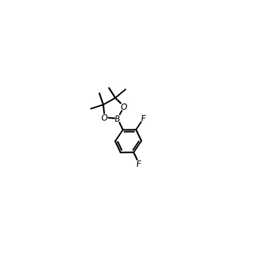 CC1(C)OB(c2ccc(F)cc2F)OC1(C)C